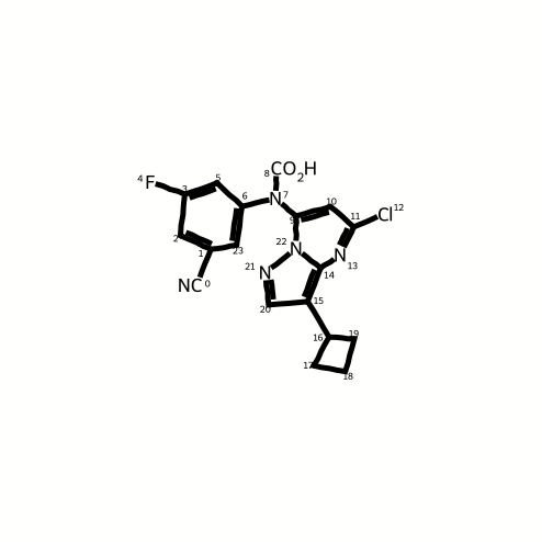 N#Cc1cc(F)cc(N(C(=O)O)c2cc(Cl)nc3c(C4CCC4)cnn23)c1